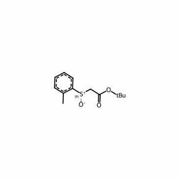 Cc1ccccc1[S@@+]([O-])CC(=O)OC(C)(C)C